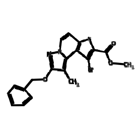 COC(=O)c1sc2ccn3nc(OCc4ccccc4)c(C)c3c2c1Br